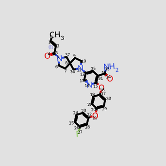 C/C=C/C(=O)N1CCC2(CCN(c3cnc(Oc4ccc(Oc5cccc(F)c5)cc4)c(C(N)=O)c3)C2)C1